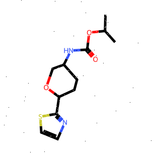 CC(C)OC(=O)NC1CCC(c2nccs2)OC1